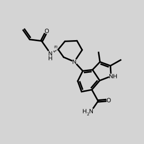 C=CC(=O)N[C@@H]1CCCN(c2ccc(C(N)=O)c3[nH]c(C)c(C)c23)C1